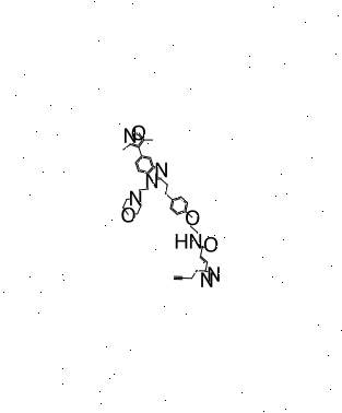 C#CCCC1(C=CC(=O)NCCOc2ccc(CCc3nc4cc(-c5c(C)noc5C)ccc4n3CCN3CCOCC3)cc2)N=N1